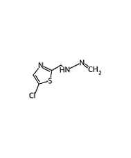 C=NNCc1ncc(Cl)s1